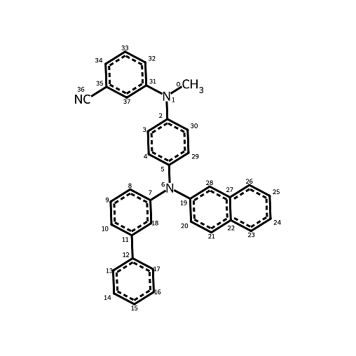 CN(c1ccc(N(c2cccc(-c3ccccc3)c2)c2ccc3ccccc3c2)cc1)c1cccc(C#N)c1